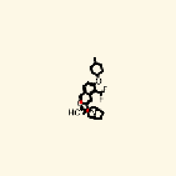 CC1CCC(Oc2ccc3ccc(C(C)N4C5CCC4CC(C(=O)O)C5)cc3c2C(F)F)CC1